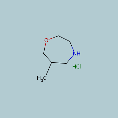 CC1CNCCOC1.Cl